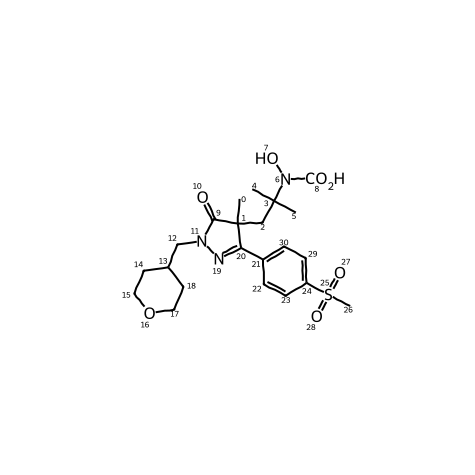 CC1(CC(C)(C)N(O)C(=O)O)C(=O)N(CC2CCOCC2)N=C1c1ccc(S(C)(=O)=O)cc1